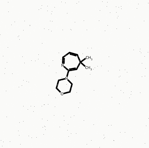 CC1(C)C=CC=NC(N2CCOCC2)=C1